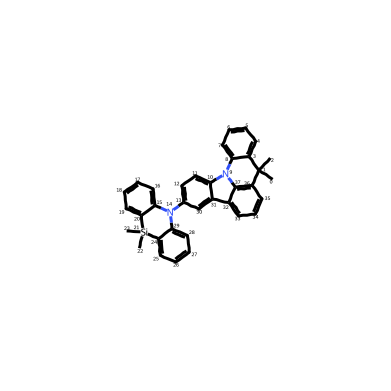 CC1(C)c2ccccc2-n2c3ccc(N4c5ccccc5[Si](C)(C)c5ccccc54)cc3c3cccc1c32